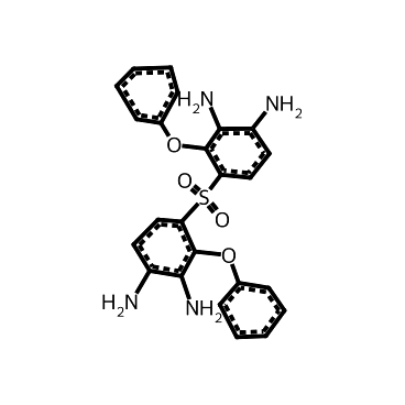 Nc1ccc(S(=O)(=O)c2ccc(N)c(N)c2Oc2ccccc2)c(Oc2ccccc2)c1N